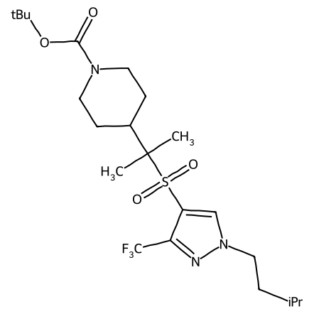 CC(C)CCn1cc(S(=O)(=O)C(C)(C)C2CCN(C(=O)OC(C)(C)C)CC2)c(C(F)(F)F)n1